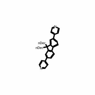 CCCCCCCCCCC1(CCCCCCCCCC)c2cc(-c3ccncc3)ccc2-c2ccc(-c3ccncc3)cc21